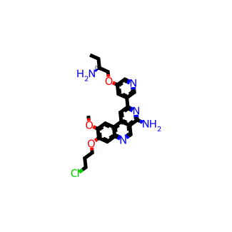 CC[C@H](N)COc1cncc(-c2cc3c(cnc4cc(OCCCCl)c(OC)cc43)c(N)n2)c1